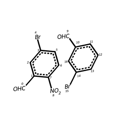 O=Cc1cc(Br)ccc1[N+](=O)[O-].O=Cc1cccc(Br)c1